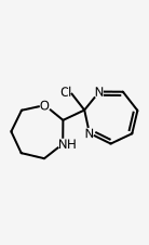 ClC1(C2NCCCCO2)N=CC=CC=N1